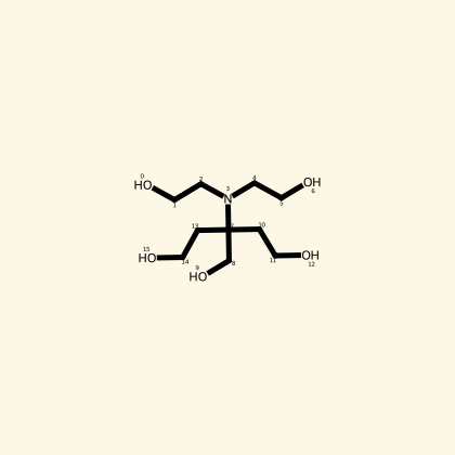 OCCN(CCO)C(CO)(CCO)CCO